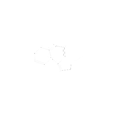 [O-][S+]1CC=C2C1=CN=C1C=CC=CN21